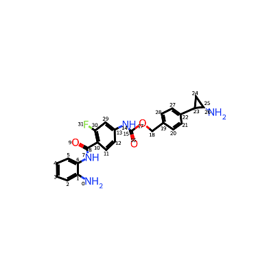 Nc1ccccc1NC(=O)c1ccc(NC(=O)OCc2ccc(C3C[C@@H]3N)cc2)cc1F